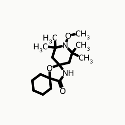 CON1C(C)(C)CC2(CC1(C)C)NC(=O)C1(CCCCC1)O2